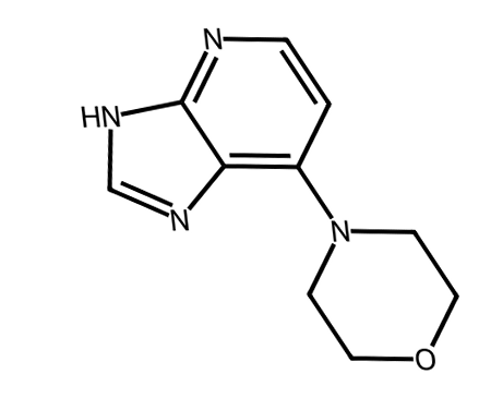 c1cc(N2CCOCC2)c2nc[nH]c2n1